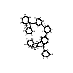 c1ccc(-n2c3ccc(-c4cccc(-c5cccc(-n6c7ccccc7c7ccccc76)c5)c4)cc3c3c4ccccc4oc32)cc1